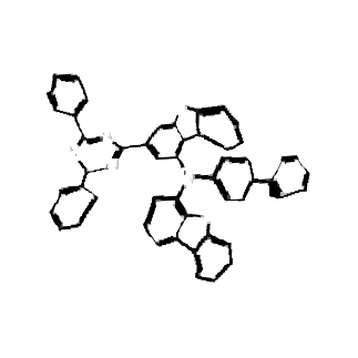 c1ccc(-c2ccc(N(c3cccc4c3oc3ccccc34)c3cc(-c4nc(-c5ccccc5)nc(-c5ccccc5)n4)cc4oc5ccccc5c34)cc2)cc1